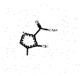 COC(=O)c1scc(C)c1O